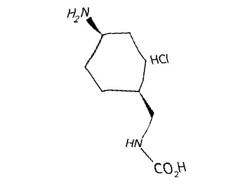 Cl.N[C@H]1CC[C@@H](CNC(=O)O)CC1